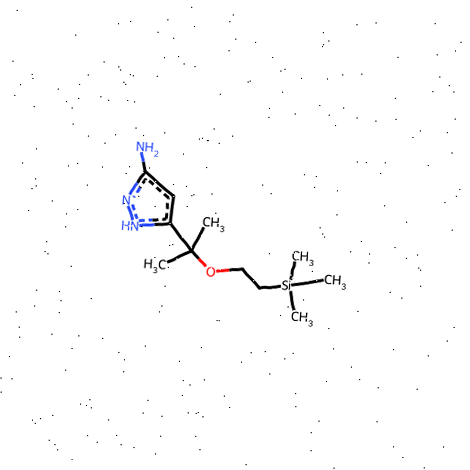 CC(C)(OCC[Si](C)(C)C)c1cc(N)n[nH]1